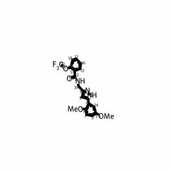 COc1ccc(OC)c(-c2cc(CNC(=O)c3ccccc3OC(F)(F)F)n[nH]2)c1